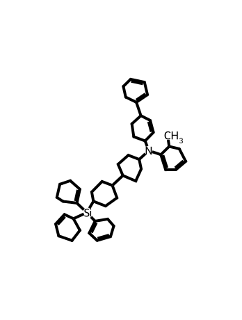 CC1CC=CC=C1N(C1C=CC(C2=CC=CCC2)CC1)C1CCC(C2CCC([Si](C3=CC=CCC3)(C3=CCCCC3)C3C=CCCC3)CC2)CC1